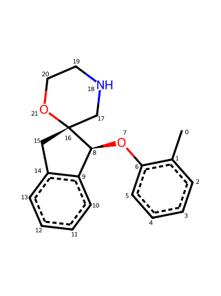 Cc1ccccc1O[C@H]1c2ccccc2C[C@@]12CNCCO2